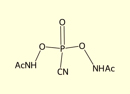 CC(=O)NOP(=O)(C#N)ONC(C)=O